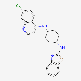 Clc1ccc2c(N[C@H]3CC[C@@H](Nc4nc5ccccc5s4)CC3)ccnc2c1